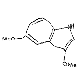 COc1ccc2[nH]cc(OC)c2c1